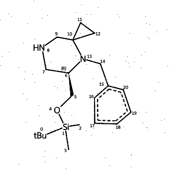 CC(C)(C)[Si](C)(C)OC[C@H]1CNCC2(CC2)N1Cc1ccccc1